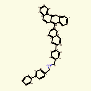 c1ccc(-c2ccc(CNCc3ccc(-c4ccc5cc(-c6c7ccccc7cc7c6ccc6ccccc67)ccc5c4)cc3)cc2)cc1